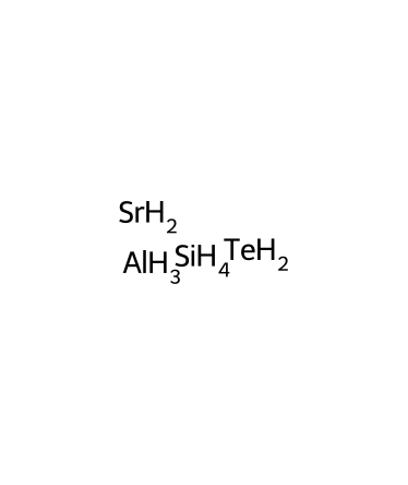 [AlH3].[SiH4].[SrH2].[TeH2]